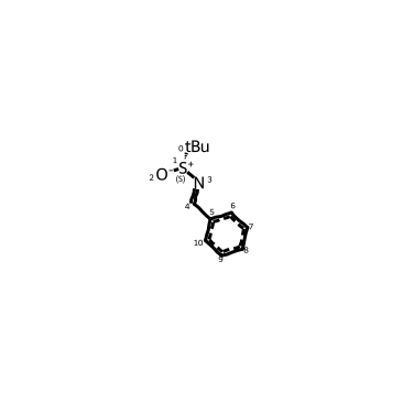 CC(C)(C)[S@@+]([O-])N=Cc1ccccc1